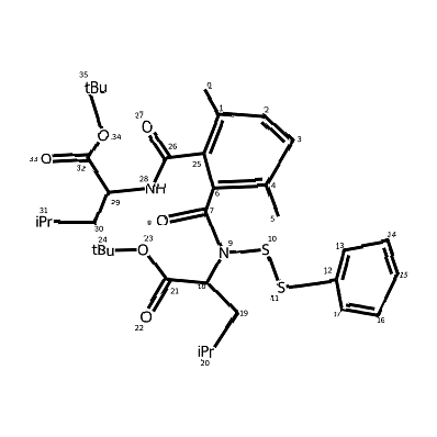 Cc1ccc(C)c(C(=O)N(SSc2ccccc2)C(CC(C)C)C(=O)OC(C)(C)C)c1C(=O)NC(CC(C)C)C(=O)OC(C)(C)C